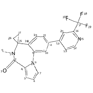 CN1C(=O)c2cccn2-c2cc(-c3ccnc(C(F)(F)F)c3)ccc2C12CC2